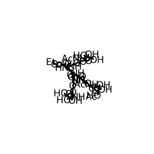 CCOC1CCC(C(=O)NC(CCC(=O)NC(CCC(=O)NCCOCCOC2OC(CO)C(O)C(O)C2NC(C)=O)C(=O)NCCOCCOC2OC(CO)C(O)C(O)C2NC(C)=O)C(=O)NCCOCCOC2(NC(C)=O)COC(CO)C(O)C2O)CC1